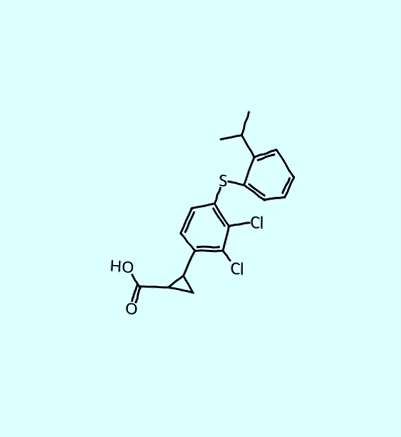 CC(C)c1ccccc1Sc1ccc(C2CC2C(=O)O)c(Cl)c1Cl